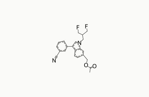 CC(=O)OCc1ccc2c(-c3cccc(C#N)c3)cn(CC(CF)CF)c2c1